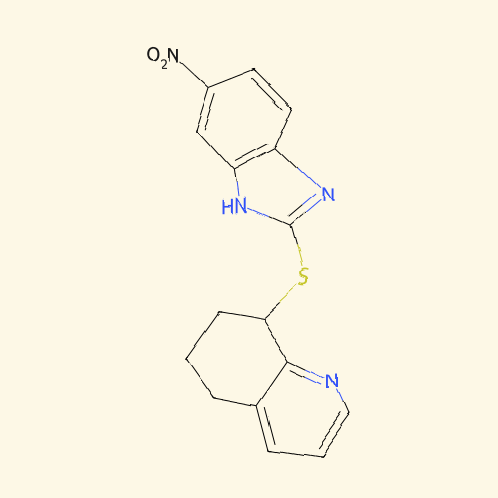 O=[N+]([O-])c1ccc2nc(SC3CCCc4cccnc43)[nH]c2c1